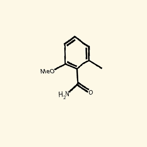 COc1cccc(C)c1C(N)=O